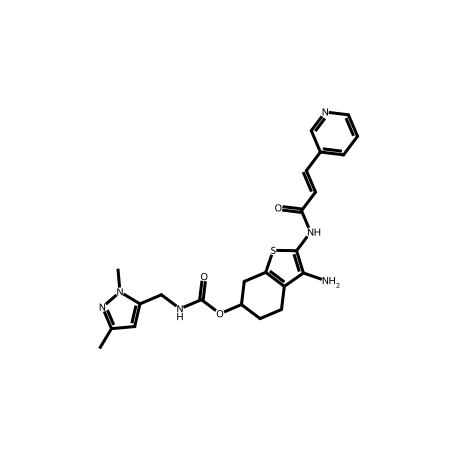 Cc1cc(CNC(=O)OC2CCc3c(sc(NC(=O)/C=C/c4cccnc4)c3N)C2)n(C)n1